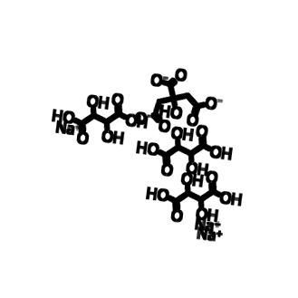 O=C(O)C(O)C(O)C(=O)O.O=C(O)C(O)C(O)C(=O)O.O=C(O)C(O)C(O)C(=O)O.O=C([O-])CC(O)(CC(=O)[O-])C(=O)[O-].[Na+].[Na+].[Na+]